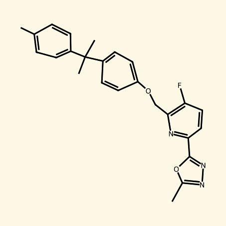 Cc1ccc(C(C)(C)c2ccc(OCc3nc(-c4nnc(C)o4)ccc3F)cc2)cc1